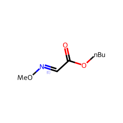 CCCCOC(=O)/C=N/OC